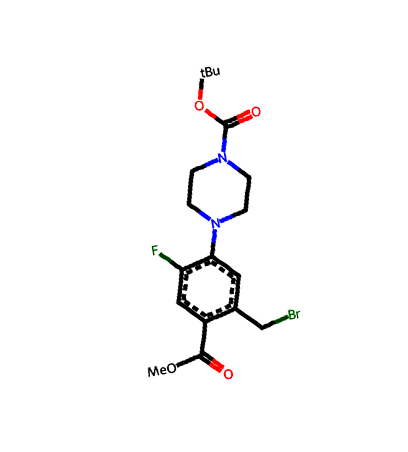 COC(=O)c1cc(F)c(N2CCN(C(=O)OC(C)(C)C)CC2)cc1CBr